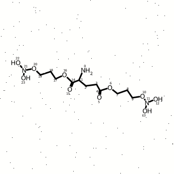 NC(CCC(=O)OCCCON(O)O)C(=O)OCCCON(O)O